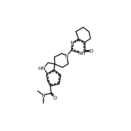 CN(C)C(=O)c1ccc2c(c1)NCC21CCN(c2nc3c(c(=O)[nH]2)CCCC3)CC1